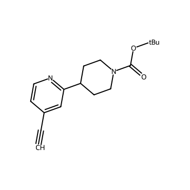 C#Cc1ccnc(C2CCN(C(=O)OC(C)(C)C)CC2)c1